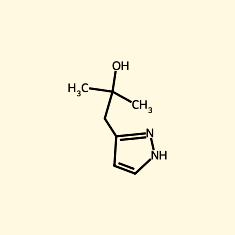 CC(C)(O)Cc1cc[nH]n1